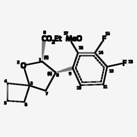 CCOC(=O)[C@H]1OC2(CCC2)C[C@H]1c1ccc(F)c(F)c1OC